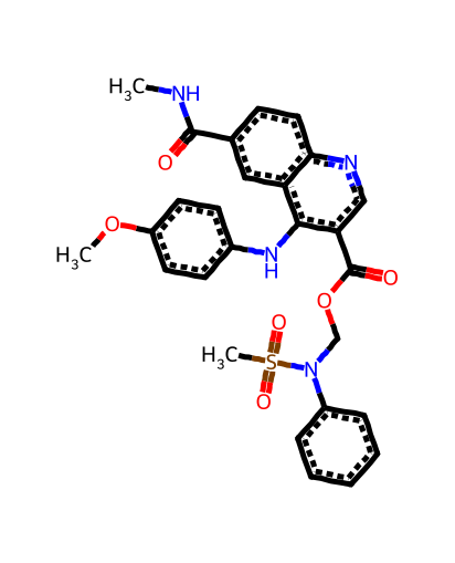 CNC(=O)c1ccc2ncc(C(=O)OCN(c3ccccc3)S(C)(=O)=O)c(Nc3ccc(OC)cc3)c2c1